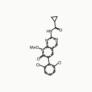 COn1c(=O)c(-c2c(Cl)cccc2Cl)cc2cnc(NC(=O)C3CC3)nc21